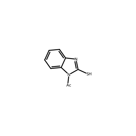 CC(=O)n1c(S)nc2ccccc21